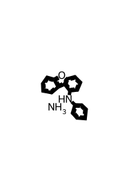 N.c1ccc(Nc2cccc3oc4ccccc4c23)cc1